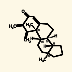 C=C1C(=C)[C@@]2(C)C(=CC1=O)CC[C@H]1[C@@H]3CCC[C@@]3(C)CC[C@@H]12